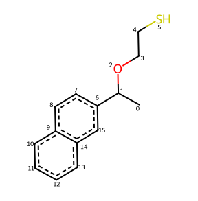 CC(OCCS)c1ccc2ccccc2c1